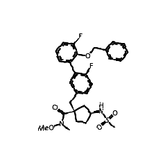 CON(C)C(=O)[C@@]1(Cc2ccc(F)c(-c3cccc(F)c3OCc3ccccc3)c2)CC[C@H](NS(C)(=O)=O)C1